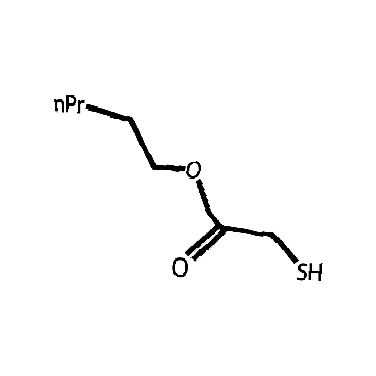 CCCCCOC(=O)CS